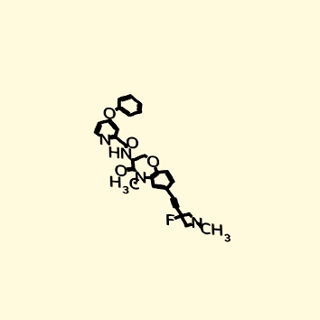 CN1CC(F)(C#Cc2ccc3c(c2)N(C)C(=O)C(NC(=O)c2cc(Oc4ccccc4)ccn2)CO3)C1